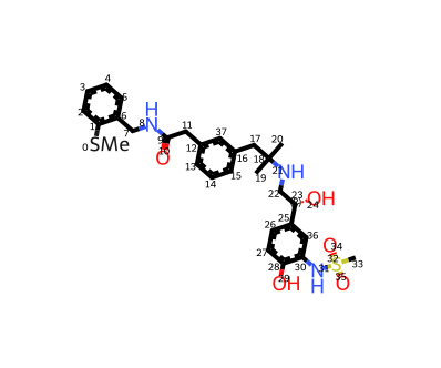 CSc1ccccc1CNC(=O)Cc1cccc(CC(C)(C)NC[C@H](O)c2ccc(O)c(NS(C)(=O)=O)c2)c1